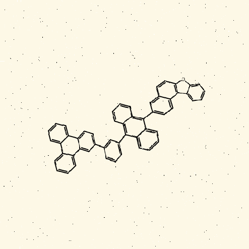 c1cc(-c2ccc3c4ccccc4c4ccccc4c3c2)cc(-c2c3ccccc3c(-c3ccc4c(ccc5oc6ccccc6c54)c3)c3ccccc23)c1